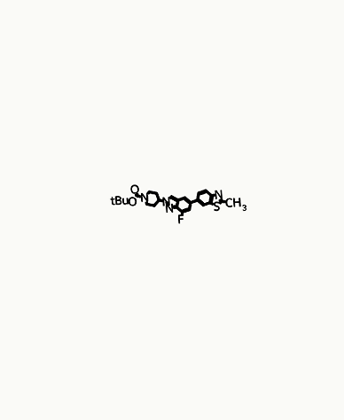 Cc1nc2ccc(-c3cc(F)c4nn(C5CCN(C(=O)OC(C)(C)C)CC5)cc4c3)cc2s1